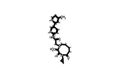 C=C1C(=O)N(C2CC2)C(=O)CCCCN1CC(=O)Nc1ccc(-c2cc(C)ccn2)cn1